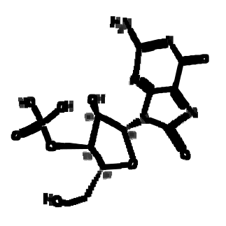 NC1=NC(=O)C2=NC(=O)N([C@@H]3O[C@H](CO)[C@@H](OP(=O)(O)O)[C@H]3O)C2=N1